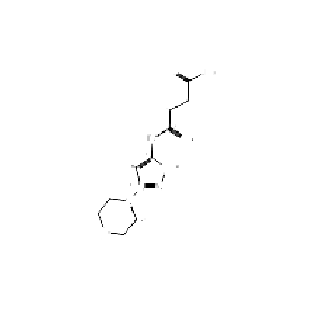 CC(C)(C)C(=O)CCC(=O)Nc1c[n+](N2CCOCC2)no1